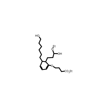 CCOC(=O)CCCOC1=CC=CC(CCCCCCO)C1CCC(O)OCC